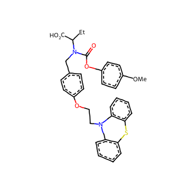 CCC(C(=O)O)N(Cc1ccc(OCCN2c3ccccc3Sc3ccccc32)cc1)C(=O)Oc1ccc(OC)cc1